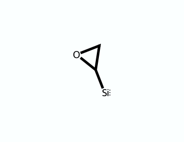 [Si]C1CO1